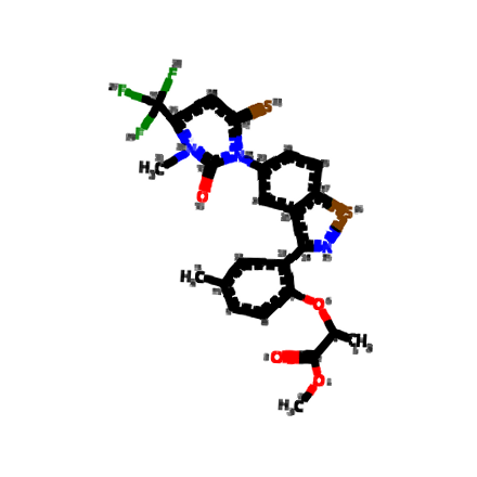 COC(=O)C(C)Oc1ccc(C)cc1-c1nsc2ccc(-n3c(=S)cc(C(F)(F)F)n(C)c3=O)cc12